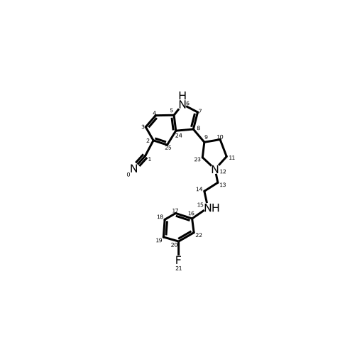 N#Cc1ccc2[nH]cc(C3CCN(CCNc4cccc(F)c4)C3)c2c1